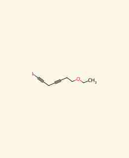 CCOCCC#CCC#CI